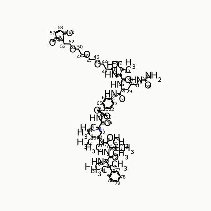 CN[C@H](C(=O)N[C@H](C(O)N(C)[C@H](/C=C(\C)C(=O)NS(=O)(=O)c1ccc(NC(=O)[C@H](CCCNC(N)=O)NC(=O)[C@@H](NC(=O)CCOCCOCCOCCN2C(=O)C=CC2=O)C(C)C)cc1)C(C)C)C(C)(C)C)C(C)(C)c1ccccc1